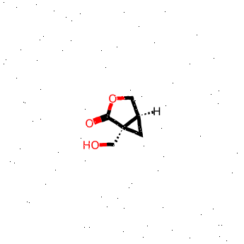 O=C1OC[C@H]2C[C@@]12CO